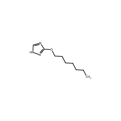 CCCCCCCOc1nc[nH]n1